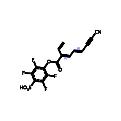 C=C/C(=C\C=C\C#CC#N)C(=O)Oc1c(F)c(F)c(S(=O)(=O)O)c(F)c1F